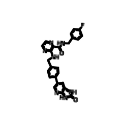 O=C(NCc1ccc(F)cc1)c1nccnc1NCc1ccc(-c2cnc3[nH]c(=O)[nH]c3c2)cc1